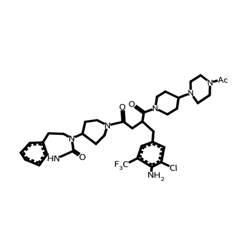 CC(=O)N1CCN(C2CCN(C(=O)C(CC(=O)N3CCC(N4CCc5ccccc5NC4=O)CC3)Cc3cc(Cl)c(N)c(C(F)(F)F)c3)CC2)CC1